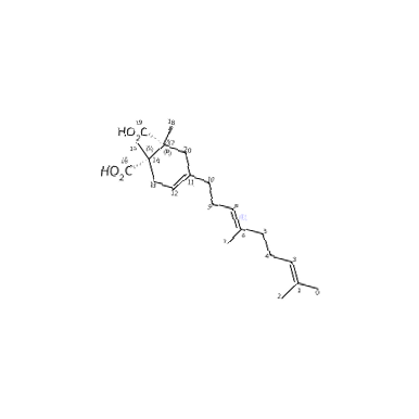 CC(C)=CCC/C(C)=C/CCC1=CC[C@](C)(C(=O)O)[C@](C)(C(=O)O)C1